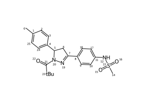 Cc1ccc(C2CC(c3ccc(NS(C)(=O)=O)cc3)=NN2C(=O)C(C)(C)C)cc1